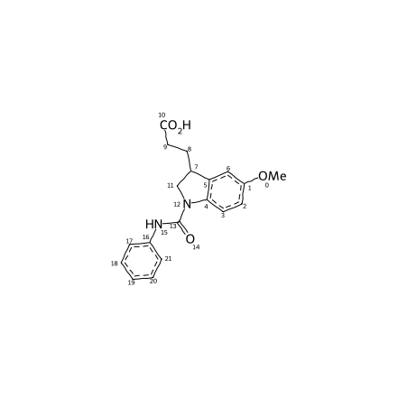 COc1ccc2c(c1)C(CCC(=O)O)CN2C(=O)Nc1ccccc1